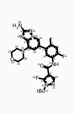 Cc1cc(F)c(NC(=O)c2cnn(C(C)(C)C)c2F)cc1-c1cc(N2CCOCC2)c2nc(N)nn2c1